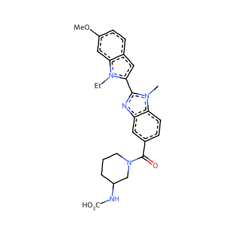 CCn1c(-c2nc3cc(C(=O)N4CCCC(NC(=O)O)C4)ccc3n2C)cc2ccc(OC)cc21